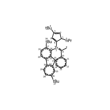 CCCC1C=C(C(C)(C)C)C=[C]1/[Zr](=[C](\C)c1ccccc1)[c]1c(C(C)(C)C)ccc2c1Cc1cc(C(C)(C)C)ccc1-2